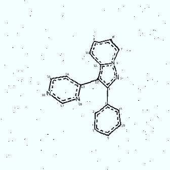 c1ccc(-c2nn3ccccc3c2-c2ccncn2)cc1